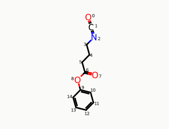 O=C=NCCCC(=O)Oc1ccccc1